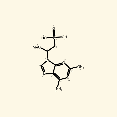 COC(CP(=O)(O)O)n1cnc2c(N)nc(N)nc21